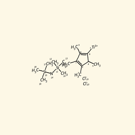 CC1=C(C)C(C)[C]([Ti+3])=C1C.C[Si](C)(C)[N-][Si](C)(C)C.[Cl-].[Cl-]